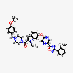 COc1ccccc1-c1noc(-c2cnc(Oc3ccc4cc(C(=O)N5CCN(Cc6ccc(OCC(F)(F)F)cc6)CC5)n(C)c4c3)cn2)n1